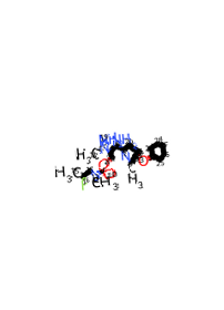 Cc1nc(/C(N)=C(\COC(=O)N(C)CC(C)F)N(C)N)ccc1OC1CCCCC1